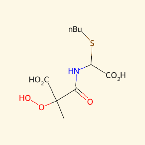 CCCCSC(NC(=O)C(C)(OO)C(=O)O)C(=O)O